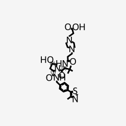 Cc1ncsc1-c1ccc(CNC(=O)[C@@H]2C[C@@H](O)CN2C(=O)[C@@H](NC(=O)CCN2CCN(CCC(=O)O)CC2)C(C)(C)C)cc1